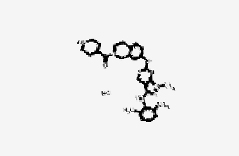 Cc1cccc(C)c1Nc1nn(C)c2nc(Nc3ccc4c(c3)CN(C(=O)C3CCNCC3)CC4)ncc12.Cl